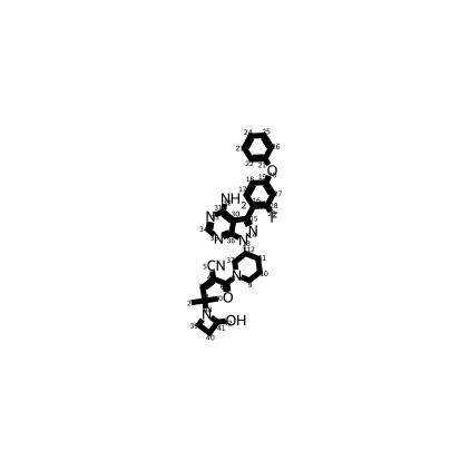 CC(C)(/C=C(/C#N)C(=O)N1CCC[C@@H](n2nc(-c3ccc(Oc4ccccc4)cc3F)c3c(N)ncnc32)C1)N1CCC1O